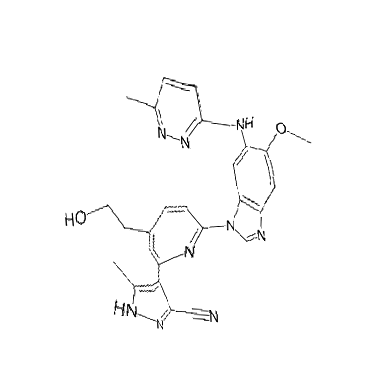 COc1cc2ncn(-c3ccc(CCO)c(-c4c(C#N)n[nH]c4C)n3)c2cc1Nc1ccc(C)nn1